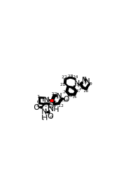 O=C1NC(=O)C2(CCCN2c2ccc(Oc3ccc4c(c3)CCCCN4c3cccnn3)nc2)C(=O)N1